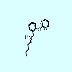 CCCCCNCc1ccccc1Oc1ncccn1